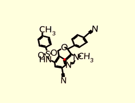 Cc1ccc(S(=O)(=O)Nc2cc(C#N)ccc2COC(c2ccc(C#N)cc2)c2cncn2C)cc1